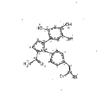 CCN(CC)Cc1ccc(-n2c(C(N)=O)ccc2-c2cc(C(C)C)c(O)cc2O)cc1